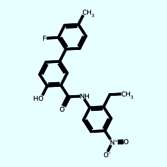 CCc1cc([N+](=O)[O-])ccc1NC(=O)c1cc(-c2ccc(C)cc2F)ccc1O